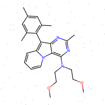 COCCN(CCOC)c1nc(C)nc2c(-c3c(C)cc(C)cc3C)c3ccccn3c12